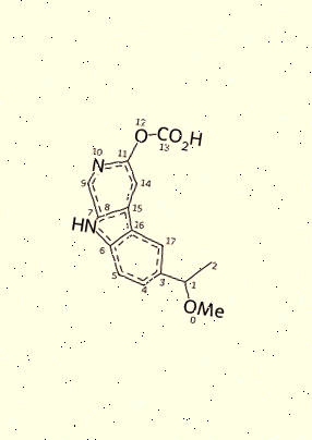 COC(C)c1ccc2[nH]c3cnc(OC(=O)O)cc3c2c1